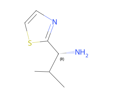 CC(C)[C@@H](N)c1nccs1